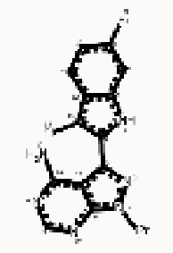 CC(C)n1nc(-c2[nH]c3cc(Br)ccc3c2Cl)c2c(N)ncnc21